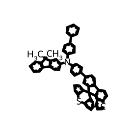 CC1(C)c2ccccc2-c2ccc(N(c3ccc(-c4ccccc4)cc3)c3ccc(-c4ccc5c(c4)C4(c6ccccc6Sc6ccccc64)c4c-5ccc5ccccc45)cc3)cc21